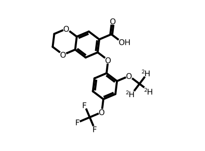 [2H]C([2H])([2H])Oc1cc(OC(F)(F)F)ccc1Oc1cc2c(cc1C(=O)O)OCCO2